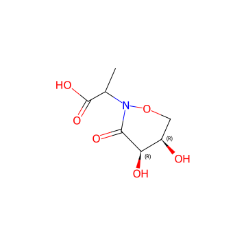 CC(C(=O)O)N1OC[C@@H](O)[C@@H](O)C1=O